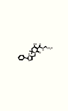 CC1(C)CC(O)=C(C(=O)NCC(=O)O)C(=O)N1Cc1cnc(-c2ccccc2)[nH]1